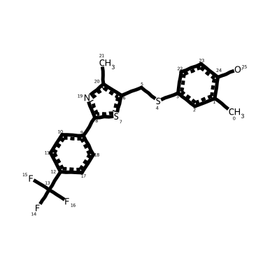 Cc1cc(SCc2sc(-c3ccc(C(F)(F)F)cc3)nc2C)ccc1[O]